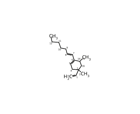 C=CC1(C)CC=C(C=CCCCCC)C(C)C1